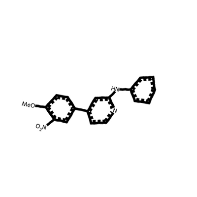 COc1ccc(-c2ccnc(Nc3ccccc3)c2)cc1[N+](=O)[O-]